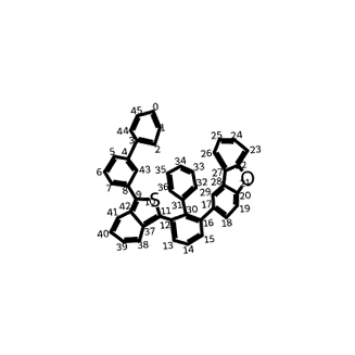 c1ccc(-c2cccc(-c3sc(-c4cccc(-c5ccc6oc7ccccc7c6c5)c4-c4ccccc4)c4ccccc34)c2)cc1